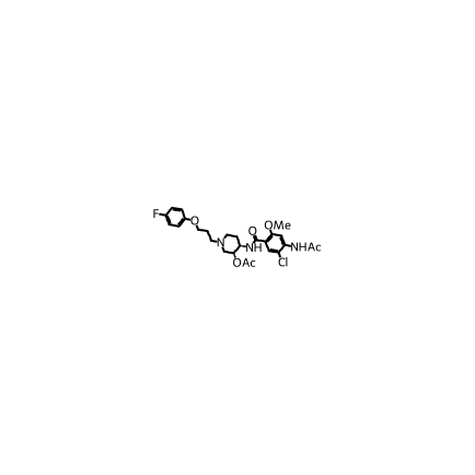 COc1cc(NC(C)=O)c(Cl)cc1C(=O)N[C@@H]1CCN(CCCOc2ccc(F)cc2)C[C@@H]1OC(C)=O